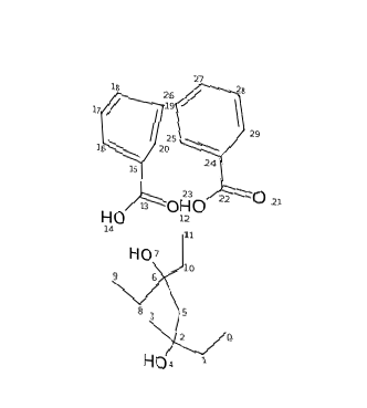 CCC(C)(O)CC(O)(CC)CC.O=C(O)c1ccccc1.O=C(O)c1ccccc1